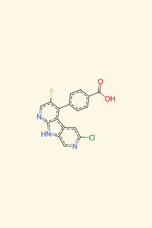 O=C(O)c1ccc(-c2c(F)cnc3[nH]c4cnc(Cl)cc4c23)cc1